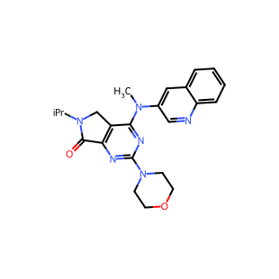 CC(C)N1Cc2c(nc(N3CCOCC3)nc2N(C)c2cnc3ccccc3c2)C1=O